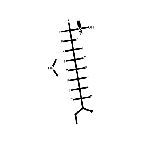 CCC(F)C(F)(F)C(F)(F)C(F)(F)C(F)(F)C(F)(F)C(F)(F)C(F)(F)C(F)(F)S(=O)(=O)O.CNC